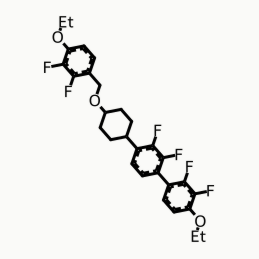 CCOc1ccc(COC2CCC(c3ccc(-c4ccc(OCC)c(F)c4F)c(F)c3F)CC2)c(F)c1F